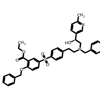 CCOC(=O)c1cc(S(=O)(=O)c2ccc(CCN(Cc3ccccc3)C[C@@H](O)c3ccc(C)nc3)cc2)ccc1OCc1ccccc1